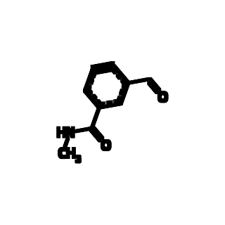 CNC(=O)c1cc#cc(C=O)c1